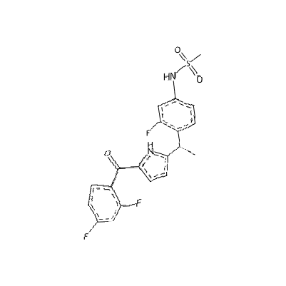 CC(c1ccc(C(=O)c2ccc(F)cc2F)[nH]1)c1ccc(NS(C)(=O)=O)cc1F